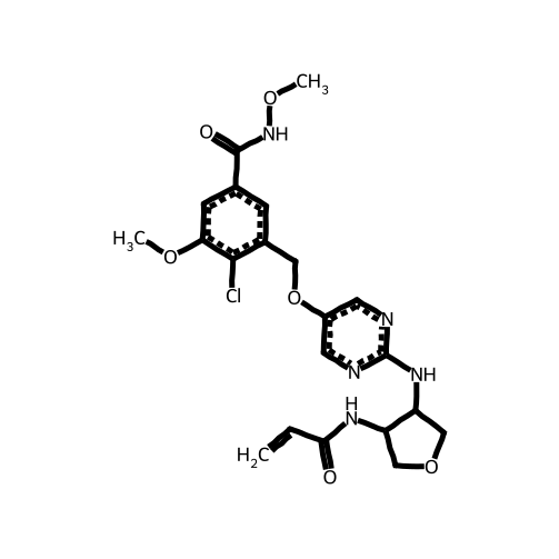 C=CC(=O)NC1COCC1Nc1ncc(OCc2cc(C(=O)NOC)cc(OC)c2Cl)cn1